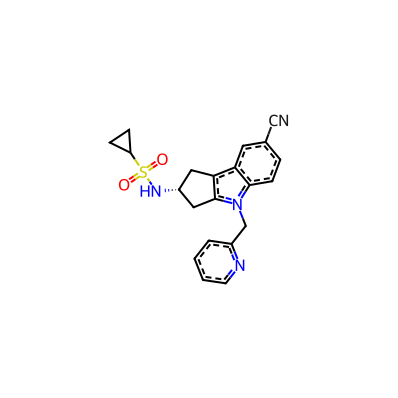 N#Cc1ccc2c(c1)c1c(n2Cc2ccccn2)C[C@H](NS(=O)(=O)C2CC2)C1